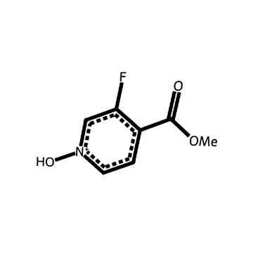 COC(=O)c1cc[n+](O)cc1F